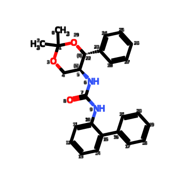 CC1(C)OC[C@H](NC(=O)Nc2ccccc2-c2ccccc2)[C@@H](c2ccccc2)O1